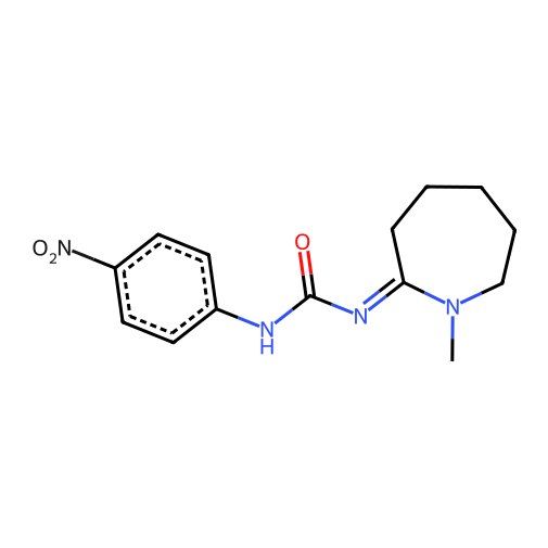 CN1CCCCCC1=NC(=O)Nc1ccc([N+](=O)[O-])cc1